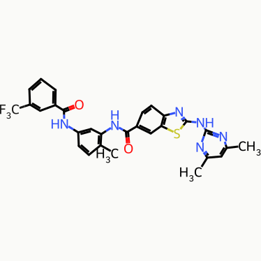 Cc1cc(C)nc(Nc2nc3ccc(C(=O)Nc4cc(NC(=O)c5cccc(C(F)(F)F)c5)ccc4C)cc3s2)n1